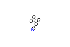 c1ccc2c(c1)c1ccccc1c1c3cc(-c4ccncc4)ccc3c3ccccc3c21